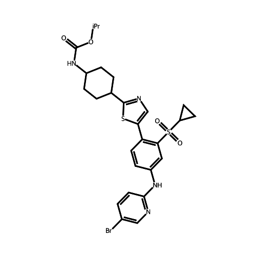 CC(C)OC(=O)NC1CCC(c2ncc(-c3ccc(Nc4ccc(Br)cn4)cc3S(=O)(=O)C3CC3)s2)CC1